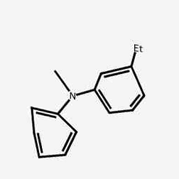 CCc1cccc(N(C)c2ccccc2)c1